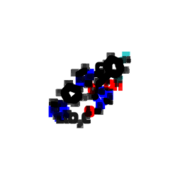 CCOC(=O)OCn1cn[n+](C[C@](O)(c2ccc(F)cc2F)[C@@H](C)N2CCN(c3ccc(-n4cnnn4)cc3)C2=O)c1